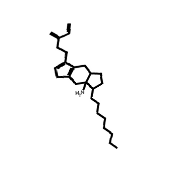 C=CC(=C)CCC1=CCC2=C1CC1CCC(CCCCCCCC)C1(N)C2